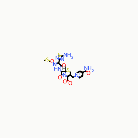 CSCON=C(C(=O)NC1C(=O)N2C(C(=O)[O-])=C(C[n+]3ccc(C(N)=O)cc3)CS[C@@H]12)c1nsc(N)n1